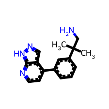 CC(C)(CN)c1cccc(-c2ccnc3[nH]ncc23)c1